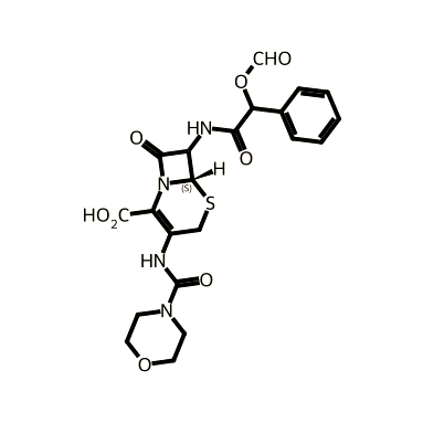 O=COC(C(=O)NC1C(=O)N2C(C(=O)O)=C(NC(=O)N3CCOCC3)CS[C@@H]12)c1ccccc1